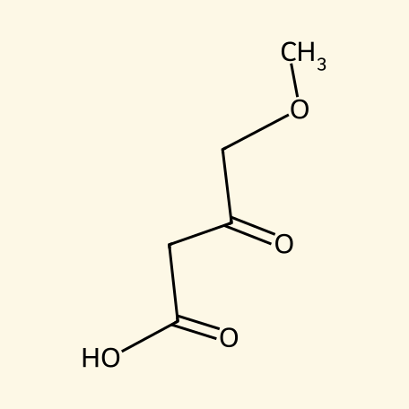 COCC(=O)CC(=O)O